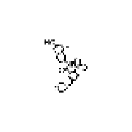 Cc1cc(O)nc2ccc(NC(=O)c3cc(CN4CCOCC4)ccc3N3CCCC3=O)cc12